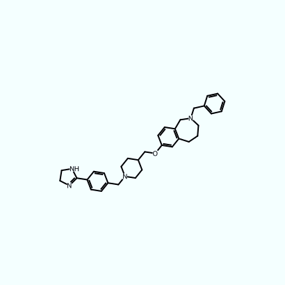 c1ccc(CN2CCCc3cc(OCC4CCN(Cc5ccc(C6=NCCN6)cc5)CC4)ccc3C2)cc1